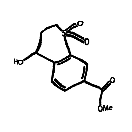 COC(=O)c1ccc2c(c1)S(=O)(=O)CCC2O